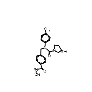 O=C(NO)c1ccc(CN(C(=O)N2CC[C@@H](I)C2)c2ccc(C(F)(F)F)cc2)cc1